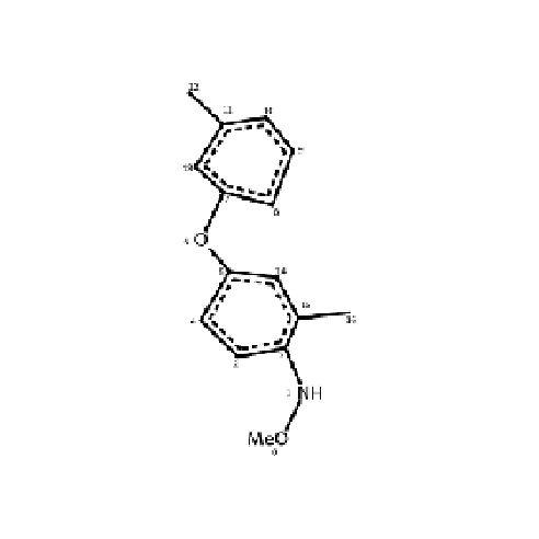 CONc1ccc(Oc2cccc(C)c2)cc1C